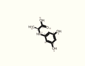 C[C@H](Nc1cc(O)cc(O)c1)C(=O)O